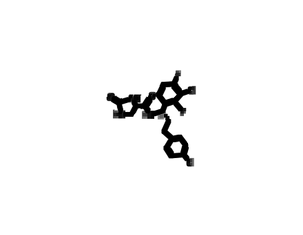 O=C1NCC(C(=O)N[C@@H](CCc2ccc(Cl)cc2)c2ccc(F)c(Cl)c2F)N1